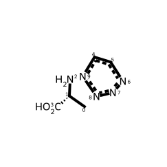 C[C@@H](N)C(=O)O.c1cnnnn1